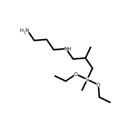 CCO[Si](C)(CC(C)CNCCCN)OCC